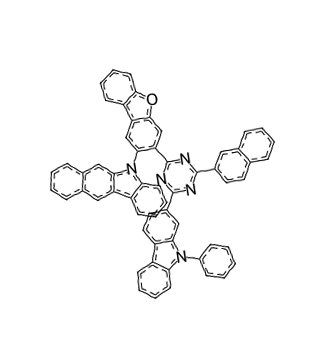 c1ccc(-n2c3ccccc3c3ccc(-c4nc(-c5ccc6ccccc6c5)nc(-c5cc6oc7ccccc7c6cc5-n5c6ccccc6c6cc7ccccc7cc65)n4)cc32)cc1